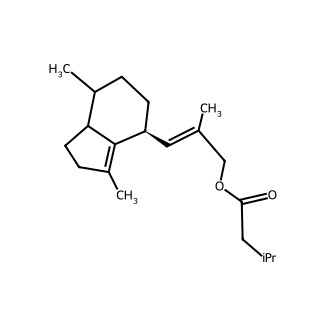 CC1=C2C(CC1)C(C)CC[C@H]2/C=C(\C)COC(=O)CC(C)C